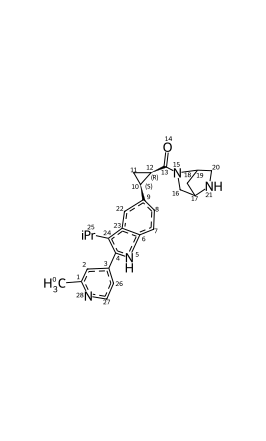 Cc1cc(-c2[nH]c3ccc([C@H]4C[C@H]4C(=O)N4CC5CC4CN5)cc3c2C(C)C)ccn1